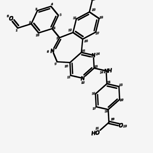 O=Cc1cccc(C2=NCc3cnc(Nc4ccc(C(=O)O)cc4)nc3-c3ccc(Cl)cc32)c1